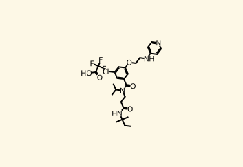 CCC(C)(C)NC(=O)CCN(C(=O)c1cc(Cl)cc(OCCNc2ccncc2)c1)C(C)C.O=C(O)C(F)(F)F